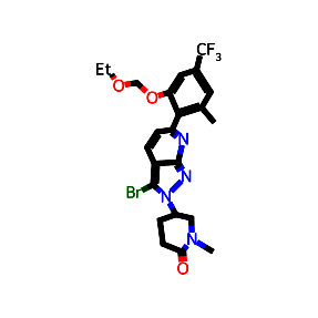 CCOCOc1cc(C(F)(F)F)cc(C)c1-c1ccc2c(Br)n(C3CCC(=O)N(C)C3)nc2n1